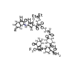 CCN(CC)CCN(C(=O)OCCN(C)C(=O)O[C@H]1CC[C@H](Nc2cc(-n3nc(C(F)(F)F)c4c3CC(C)(C)CC4=O)ccc2C(N)=O)CC1)C(=O)c1c(C)[nH]c(/C=C2\C(=O)Nc3ccc(F)cc32)c1C